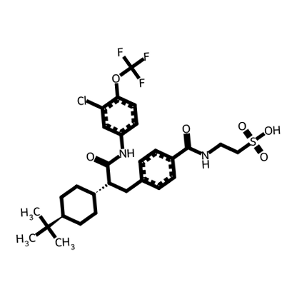 CC(C)(C)[C@H]1CC[C@H](C(Cc2ccc(C(=O)NCCS(=O)(=O)O)cc2)C(=O)Nc2ccc(OC(F)(F)F)c(Cl)c2)CC1